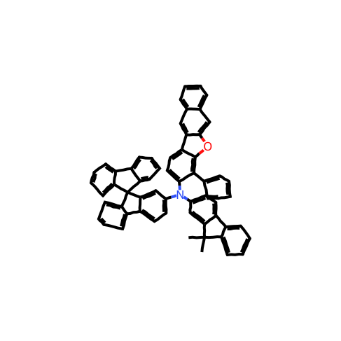 CC1(C)c2ccccc2-c2ccc(N(c3ccc4c(c3)C3(c5ccccc5-c5ccccc53)c3ccccc3-4)c3ccc4c(oc5cc6ccccc6cc54)c3-c3ccccc3)cc21